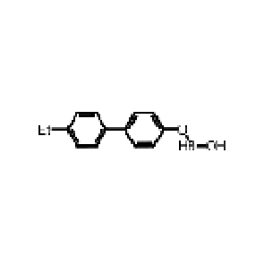 CCc1ccc(-c2ccc(OBO)cc2)cc1